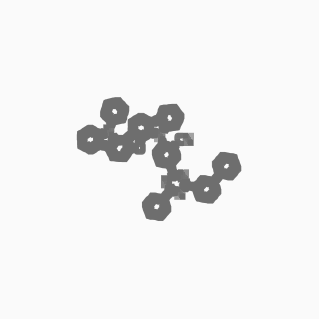 N#Cc1cc(-c2nc(-c3ccccc3)nc(-c3cccc(-c4ccccc4)c3)n2)ccc1-n1c2ccccc2c2ccc3c(oc4ccc5c6ccccc6n(-c6ccccc6)c5c43)c21